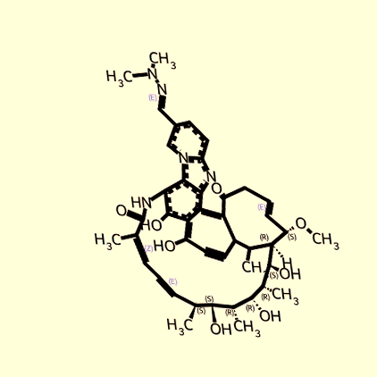 CO[C@H]1/C=C/CC(=O)C2=c3c4c(O)c(c5c3nc3ccc(/C=N/N(C)C)cn35)NC(=O)/C(C)=C\C=C\[C@H](C)[C@H](O)[C@@H](C)[C@@H](O)[C@@H](C)[C@H](O)[C@H]1C(C)C2C#CC=4O